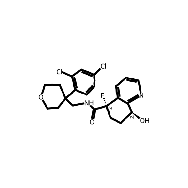 O=C(NCC1(c2ccc(Cl)cc2Cl)CCOCC1)[C@]1(F)CC[C@H](O)c2ncccc21